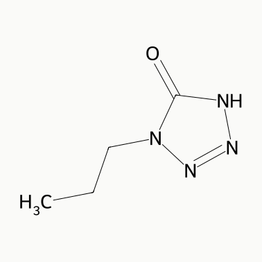 CCCn1nn[nH]c1=O